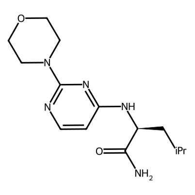 CC(C)C[C@H](Nc1ccnc(N2CCOCC2)n1)C(N)=O